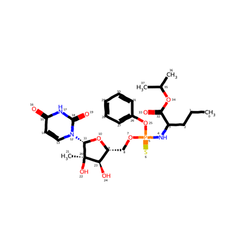 CCCC(NP(=S)(OC[C@H]1O[C@@H](n2ccc(=O)[nH]c2=O)[C@](C)(O)[C@@H]1O)Oc1ccccc1)C(=O)OC(C)C